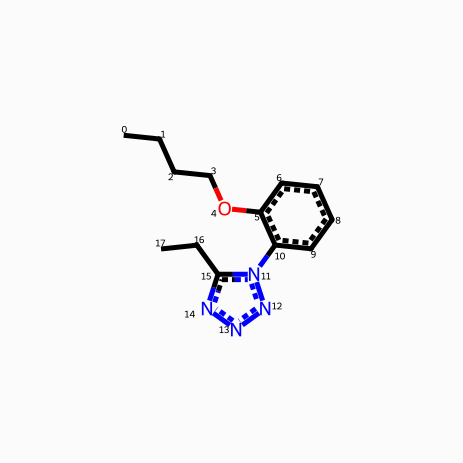 CCCCOc1ccccc1-n1nnnc1CC